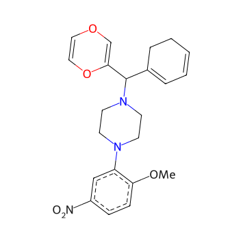 COc1ccc([N+](=O)[O-])cc1N1CCN(C(C2=CC=CCC2)C2=COC=CO2)CC1